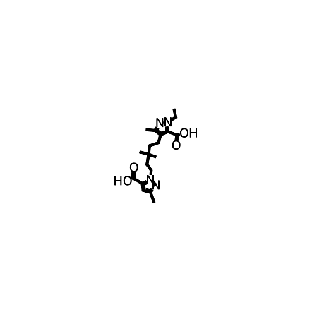 CCn1nc(C)c(CCC(C)(C)CCn2nc(C)cc2C(=O)O)c1C(=O)O